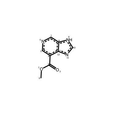 COC(=O)c1cncc2[nH]cnc12